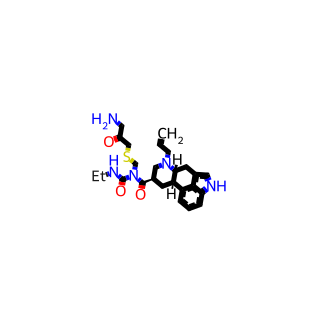 C=CCN1C[C@H](C(=O)N(CSCC(=O)CN)C(=O)NCC)C[C@@H]2c3cccc4[nH]cc(c34)C[C@H]21